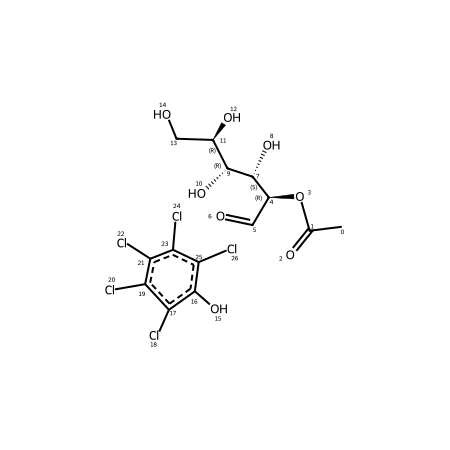 CC(=O)O[C@@H](C=O)[C@@H](O)[C@H](O)[C@H](O)CO.Oc1c(Cl)c(Cl)c(Cl)c(Cl)c1Cl